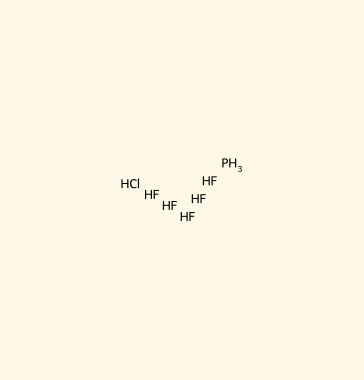 Cl.F.F.F.F.F.P